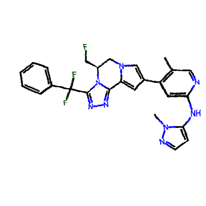 Cc1cnc(Nc2ccnn2C)cc1-c1cc2n(c1)C[C@H](CF)n1c-2nnc1C(F)(F)c1ccccc1